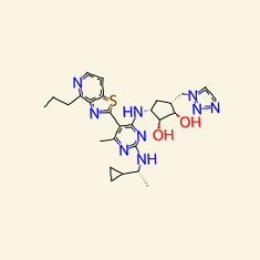 CCCc1nccc2sc(-c3c(C)nc(N[C@H](C)C4CC4)nc3N[C@@H]3C[C@H](Cn4ccnn4)[C@@H](O)[C@H]3O)nc12